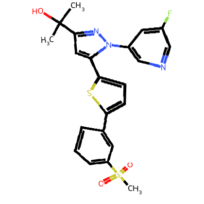 CC(C)(O)c1cc(-c2ccc(-c3cccc(S(C)(=O)=O)c3)s2)n(-c2cncc(F)c2)n1